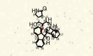 O=C(CO)C(C[C@@H]1CCNC1=O)NC(=O)[C@@H]1C2CCC(CC2)N1C(=O)C1(O)c2ccccc2-c2ccccc21